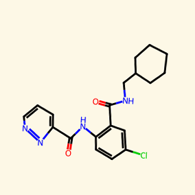 O=C(Nc1ccc(Cl)cc1C(=O)NCC1CCCCC1)c1cccnn1